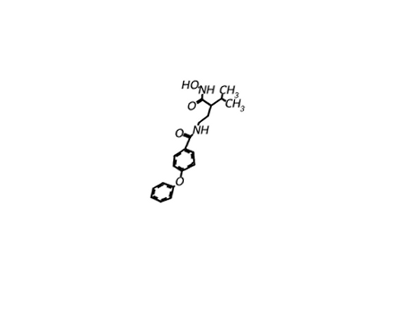 CC(C)C(CCNC(=O)c1ccc(Oc2ccccc2)cc1)C(=O)NO